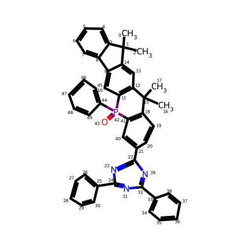 CC1(C)c2ccccc2-c2cc3c(cc21)C(C)(C)c1ccc(-c2nc(-c4ccccc4)nc(-c4ccccc4)n2)cc1P3(=O)c1ccccc1